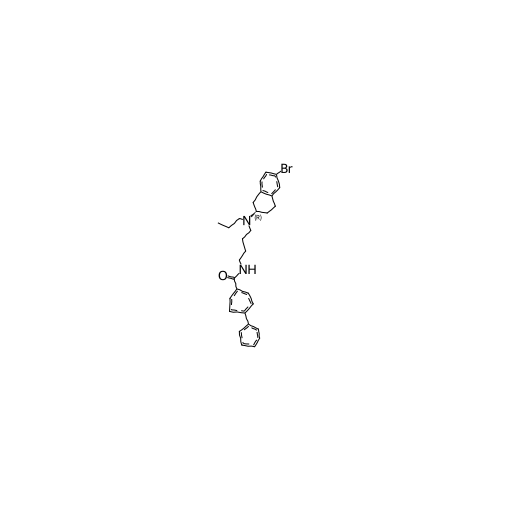 CCCN(CCCCNC(=O)c1ccc(-c2ccccc2)cc1)[C@@H]1CCc2cc(Br)ccc2C1